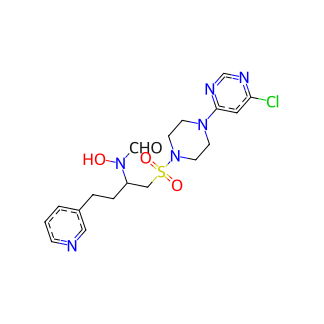 O=CN(O)C(CCc1cccnc1)CS(=O)(=O)N1CCN(c2cc(Cl)ncn2)CC1